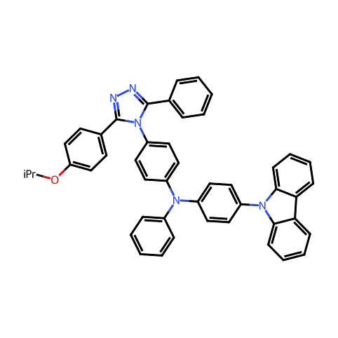 CC(C)Oc1ccc(-c2nnc(-c3ccccc3)n2-c2ccc(N(c3ccccc3)c3ccc(-n4c5ccccc5c5ccccc54)cc3)cc2)cc1